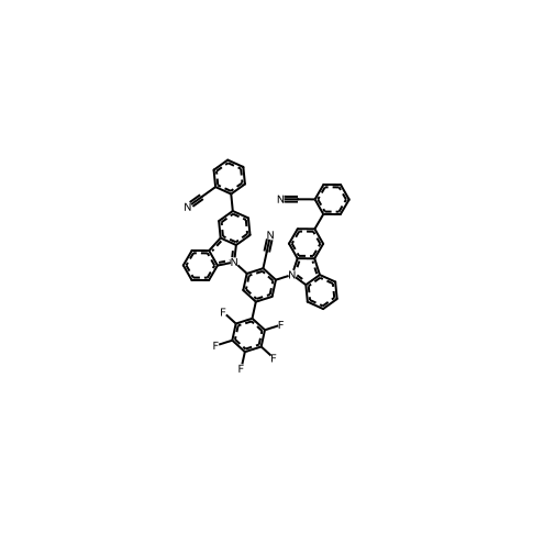 N#Cc1ccccc1-c1ccc2c(c1)c1ccccc1n2-c1cc(-c2c(F)c(F)c(F)c(F)c2F)cc(-n2c3ccccc3c3cc(-c4ccccc4C#N)ccc32)c1C#N